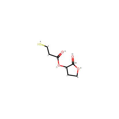 O=C(CCS)OC1CCOC1=O